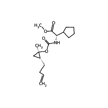 C=CCC[C@@H]1C[C@@]1(C)OC(=O)N[C@H](C(=O)OC)C1CCCC1